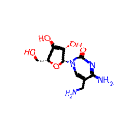 NCc1cn([C@@H]2O[C@H](CO)C(O)[C@@H]2O)c(=O)nc1N